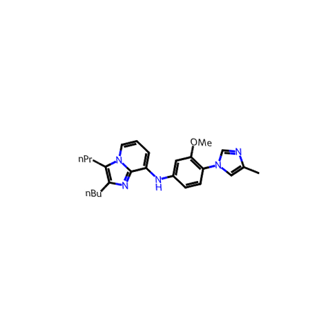 CCCCc1nc2c(Nc3ccc(-n4cnc(C)c4)c(OC)c3)cccn2c1CCC